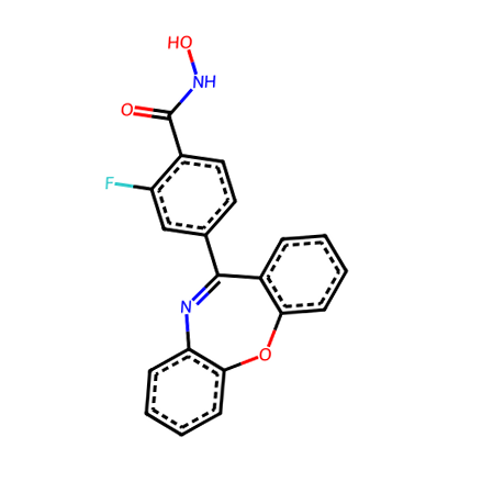 O=C(NO)c1ccc(C2=Nc3ccccc3Oc3ccccc32)cc1F